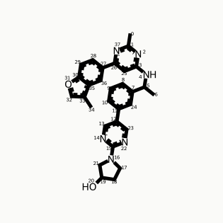 Cc1nc(NC(C)c2cccc(-c3cnc(N4CCC(O)C4)nc3)c2)cc(-c2ccc3occ(C)c3c2)n1